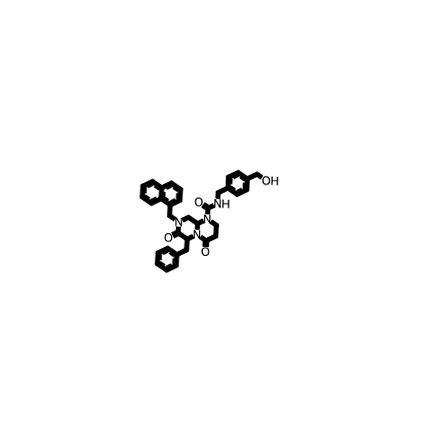 O=C1C(Cc2ccccc2)N2C(=O)CCN(C(=O)NCc3ccc(CO)cc3)C2CN1Cc1cccc2ccccc12